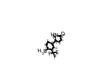 Bc1ccc(-c2ccc(=O)[nH]n2)cc1C(F)(F)F